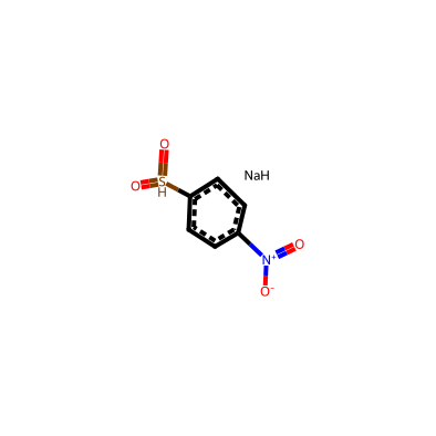 O=[N+]([O-])c1ccc([SH](=O)=O)cc1.[NaH]